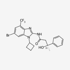 C[C@](O)(CC(=O)Nc1nc2c(C(F)(F)F)cc(Br)cc2n1C1CCC1)c1ccccc1